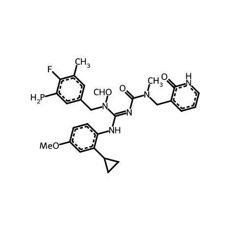 COc1ccc(N/C(=N/C(=O)N(C)Cc2ccc[nH]c2=O)N(C=O)Cc2cc(C)c(F)c(P)c2)c(C2CC2)c1